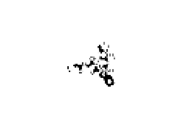 C=CC(=O)OCC(C)OC(=O)NCC1CC2CCC1C2CNC(=O)OC(C)COC(=O)C=C